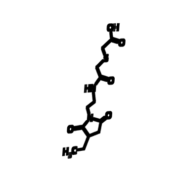 CCC1CC(=O)N(CCNC(=O)CSCC(=O)O)C1=O